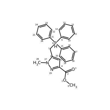 COC(=O)c1cc(C[PH](c2ccccc2)(c2ccccc2)c2ccccc2)n(C)n1